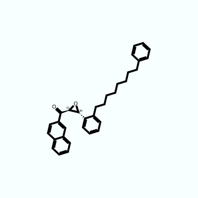 O=C(c1ccc2ccccc2c1)[C@H]1O[C@@H]1c1ccccc1CCCCCCCCc1ccccc1